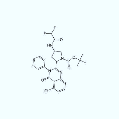 CC(C)(C)OC(=O)N1CC(NC(=O)C(F)F)CC1c1nc2cccc(Cl)c2c(=O)n1-c1ccccc1